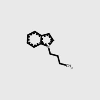 CCCCn1[c]cc2cc[c]cc21